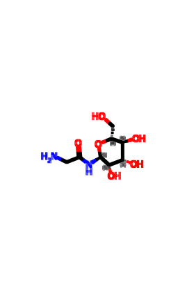 NCC(=O)N[C@H]1O[C@H](CO)[C@@H](O)[C@H](O)[C@@H]1O